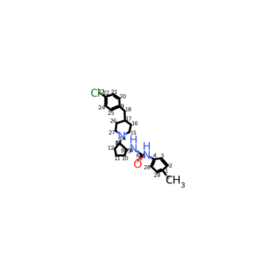 Cc1ccc(NC(=O)N[C@@H]2CCC[C@H]2N2CCC(Cc3ccc(Cl)cc3)CC2)cc1